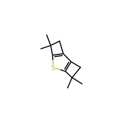 CC1(C)Cc2c1sc1c2CC1(C)C